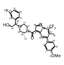 COc1ccc(-c2nc3c(C(=O)N4CCN(C(CO)c5cccc(F)c5)C[C@H]4C)cnn3c(C(F)(F)F)c2C)cc1